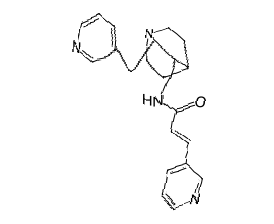 O=C(/C=C/c1cccnc1)NC1C2CCN(CC2)C1Cc1cccnc1